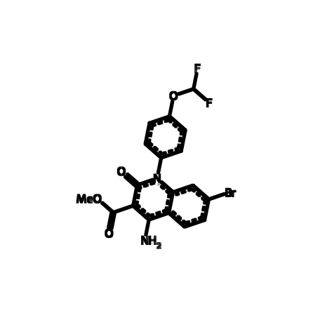 COC(=O)c1c(N)c2ccc(Br)cc2n(-c2ccc(OC(F)F)cc2)c1=O